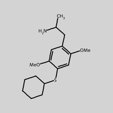 COc1cc(SC2CCCCC2)c(OC)cc1CC(C)N